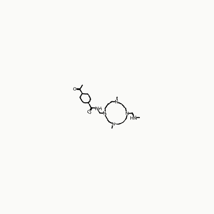 CNCN1CCCN(C)CCN(CNC(=O)C2CCC(C(C)=O)CC2)CCCN(C)CC1